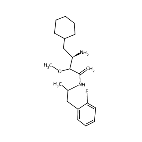 C=C(NC(C)Cc1ccccc1F)C(OC)[C@H](N)CC1CCCCC1